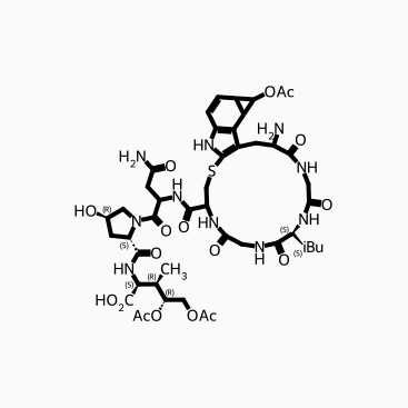 CC[C@H](C)[C@@H]1NC(=O)CNC(=O)C(N)Cc2c([nH]c3c2C2C(C=C3)C2OC(C)=O)SCC(C(=O)NC(CC(N)=O)C(=O)N2C[C@H](O)C[C@H]2C(=O)N[C@H](C(=O)O)[C@@H](C)[C@H](COC(C)=O)OC(C)=O)NC(=O)CNC1=O